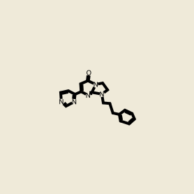 O=c1cc(-c2ccncn2)nc2n1CCN2CCCc1ccccc1